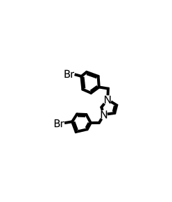 Brc1ccc(CN2C=CN(Cc3ccc(Br)cc3)C2)cc1